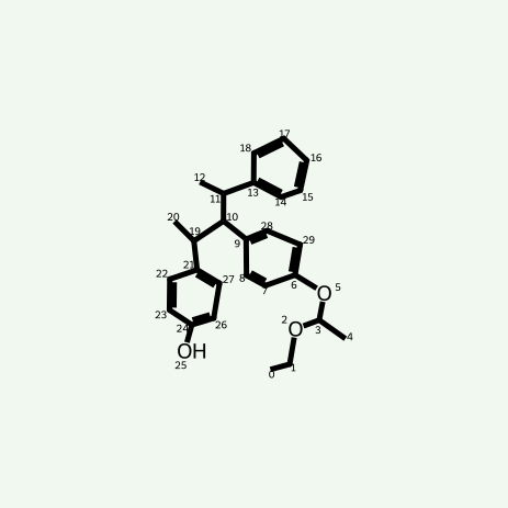 CCOC(C)Oc1ccc(C(C(C)c2ccccc2)C(C)c2ccc(O)cc2)cc1